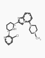 CN1CCN(c2cccc3nc([C@@H]4CCC[C@H](c5ncccc5Cl)N4)cn23)CC1